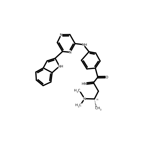 C[C@@H](CC(=N)C(=O)c1ccc(Nc2cncc(-c3cc4ccccc4[nH]3)n2)cc1)N(C)C